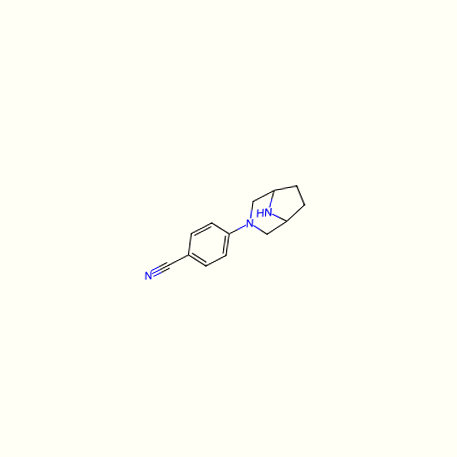 N#Cc1ccc(N2CC3CCC(C2)N3)cc1